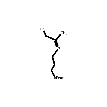 CCCCCCCCN=C(C)CC(C)C